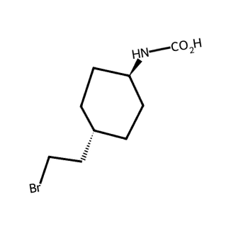 O=C(O)N[C@H]1CC[C@H](CCBr)CC1